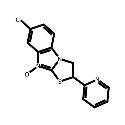 [O-][n+]1c2n(c3ccc(Cl)cc31)CC(c1ccccn1)S2